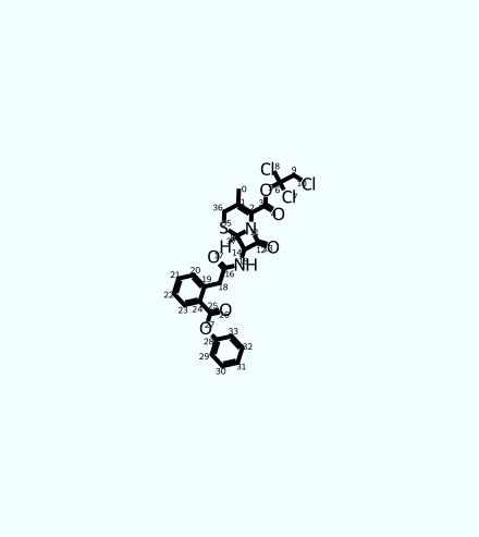 CC1=C(C(=O)OC(Cl)(Cl)CCl)N2C(=O)C(NC(=O)Cc3ccccc3C(=O)Oc3ccccc3)[C@H]2SC1